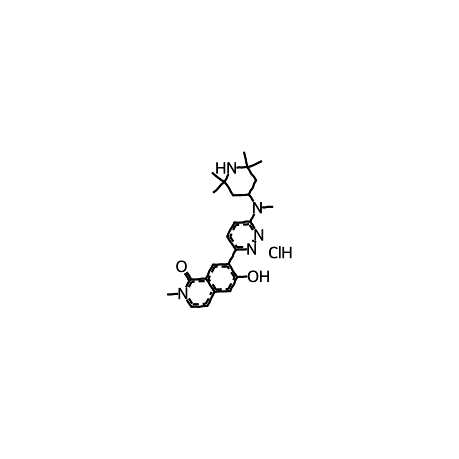 CN(c1ccc(-c2cc3c(=O)n(C)ccc3cc2O)nn1)C1CC(C)(C)NC(C)(C)C1.Cl